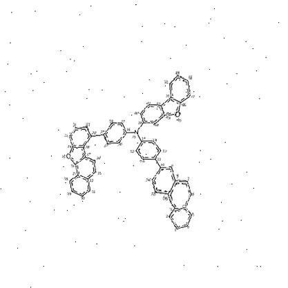 c1ccc2c(c1)ccc1cc(-c3ccc(N(c4ccc(-c5cccc6oc7c8ccccc8ccc7c56)cc4)c4ccc5c(c4)oc4ccccc45)cc3)ccc12